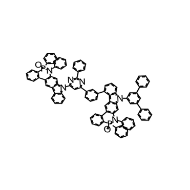 O=P1(c2ccccc2)c2ccccc2-c2cc3c4ccccc4n(-c4cc(-c5cccc(-c6cccc7c6c6cc8c(cc6n7-c6cc(-c7ccccc7)cc(-c7ccccc7)c6)N(c6ccccc6)P(=O)(c6ccccc6)c6ccccc6-8)c5)nc(-c5ccccc5)n4)c3cc2N1c1ccccc1